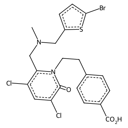 CN(Cc1ccc(Br)s1)Cc1c(Cl)cc(Cl)c(=O)n1CCc1ccc(C(=O)O)cc1